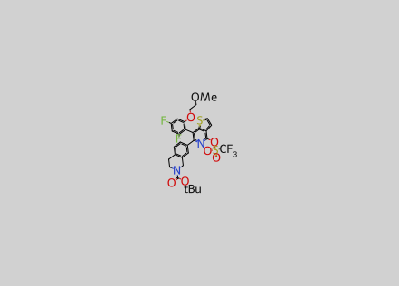 COCCOc1cc(F)cc(F)c1-c1c(-c2ccc3c(c2)CN(C(=O)OC(C)(C)C)CC3)nc(OS(=O)(=O)C(F)(F)F)c2ccsc12